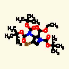 CCOC(=O)c1c(N(C(=O)OC(C)(C)C)C(=O)OC(C)(C)C)c(Br)cn1C(=O)OC(C)(C)C